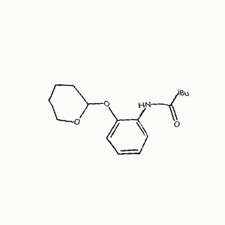 CCC(C)C(=O)Nc1ccccc1OC1CCCCO1